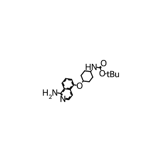 CC(C)(C)OC(=O)NC1CCC(Oc2cccc3c(N)nccc23)CC1